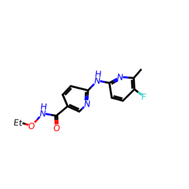 CCONC(=O)c1ccc(Nc2ccc(F)c(C)n2)nc1